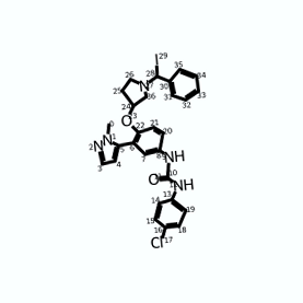 Cn1nccc1-c1cc(NC(=O)Nc2ccc(Cl)cc2)ccc1OC1CCN(C(I)c2ccccc2)C1